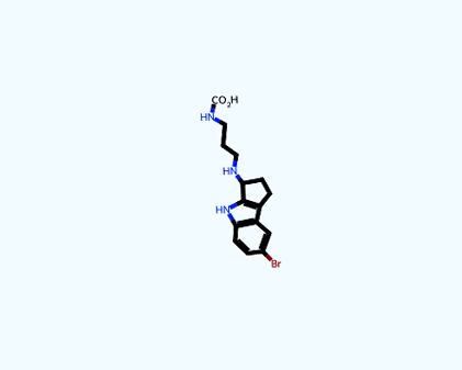 O=C(O)NCCCNC1CCc2c1[nH]c1ccc(Br)cc21